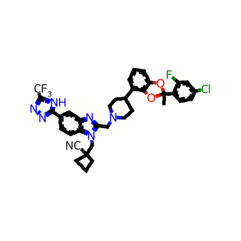 CC1(c2ccc(Cl)cc2F)Oc2cccc(C3CCN(Cc4nc5cc(-c6nnc(C(F)(F)F)[nH]6)ccc5n4CC4(C#N)CCC4)CC3)c2O1